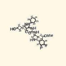 COC(C[C@@H]1CNC[C@H]1NC(=O)Nc1c(Cl)c(C2CC(O)C2)nn1-c1ccccc1)c1ccc(F)c(F)c1